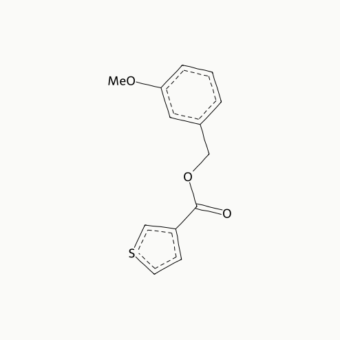 COc1cccc(COC(=O)c2ccsc2)c1